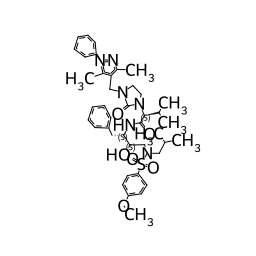 COc1ccc(S(=O)(=O)N(CC(C)C)C[C@H](O)[C@H](Cc2ccccc2)NC(=O)[C@H](C(C)C)N2CCN(Cc3c(C)nn(-c4ccccc4)c3C)C2=O)cc1